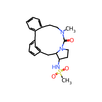 CN1CCc2ccccc2-c2cccc(c2)CC2C(NS(C)(=O)=O)CCN2C1=O